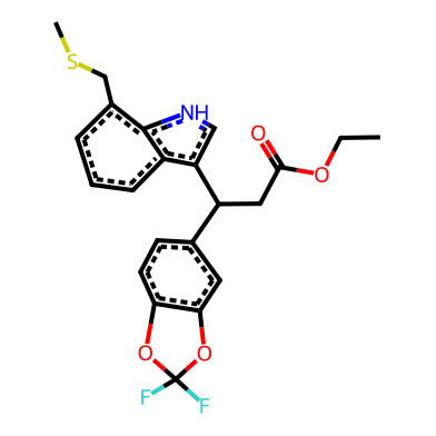 CCOC(=O)CC(c1ccc2c(c1)OC(F)(F)O2)c1c[nH]c2c(CSC)cccc12